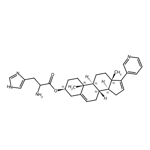 C[C@]12CC[C@H](OC(=O)C(N)Cc3c[nH]cn3)CC1=CC[C@@H]1[C@@H]2CC[C@]2(C)C(c3cccnc3)=CC[C@@H]12